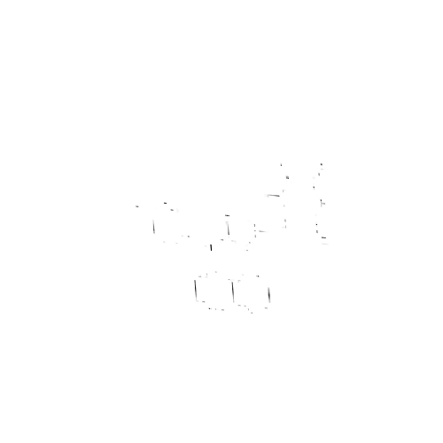 Cc1ccc(N(c2ccc(C=C3C(=O)N(C)C(=S)N(C)C3=O)s2)c2ccc(C)c3ccccc23)cc1